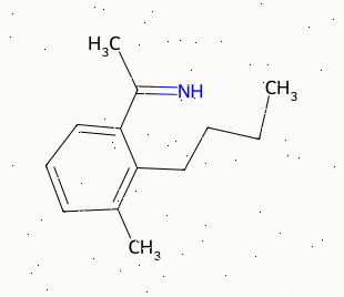 CCCCc1c(C)cccc1C(C)=N